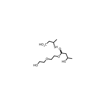 CC(S)CC(=O)O.CC(S)CC(=O)OCCOCCO